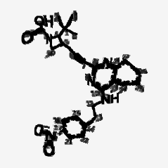 CC(C)(C)C1C(C#Cc2nc(NCCc3ccc([N+](=O)[O-])cc3)c3ccccc3n2)CN1C(=O)O